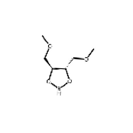 COC[C@@H]1OBO[C@H]1COC